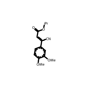 COc1ccc(C(C#N)=CC(=O)OC(C)C)cc1OC